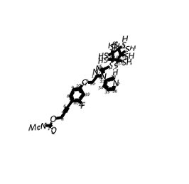 CNC(=O)OCC#Cc1ccc(OCc2nnc(SC3(S)C(S)(S)C(S)(S)C(S)(S)C3(S)S)n2-c2cccnc2)cc1F